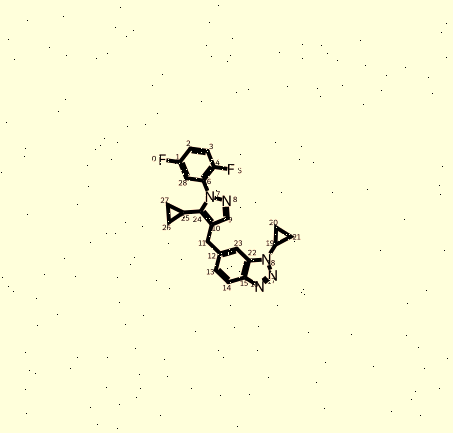 Fc1ccc(F)c(-n2ncc(Cc3ccc4nnn(C5CC5)c4c3)c2C2CC2)c1